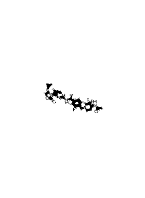 CC(=O)NC1CCN(Cc2ccc([C@H](C)Nc3nccc(N4C(=O)OC[C@@H]4C4CC4)n3)cc2F)CC1(F)F